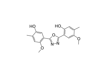 COc1cc(-c2nnc(-c3cc(O)c(C)cc3OC)o2)c(O)cc1C